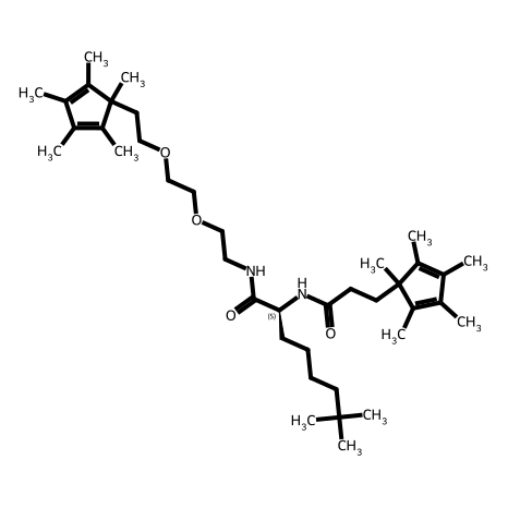 CC1=C(C)C(C)(CCOCCOCCNC(=O)[C@H](CCCCC(C)(C)C)NC(=O)CCC2(C)C(C)=C(C)C(C)=C2C)C(C)=C1C